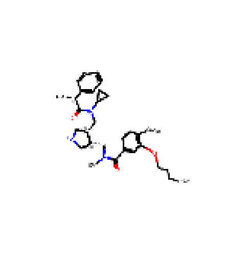 COCCCOc1cc(C(=O)N(C[C@@H]2CNC[C@H]2CN(C(=O)[C@@H](C)c2ccccc2)C2CC2)C(C)C)ccc1OC